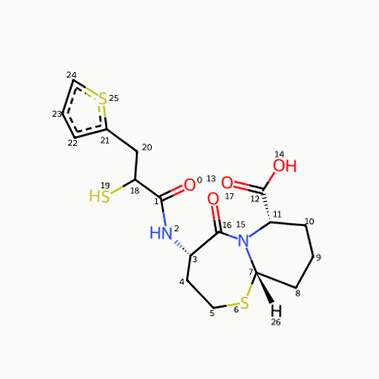 O=C(N[C@H]1CCS[C@H]2CCC[C@@H](C(=O)O)N2C1=O)C(S)Cc1cccs1